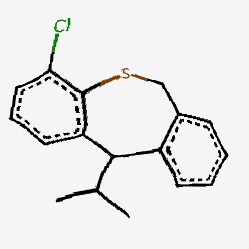 CC(C)C1c2ccccc2CSc2c(Cl)cccc21